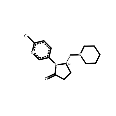 O=C1CC[C@@H](CN2CCCCC2)N1c1ccc(Cl)nc1